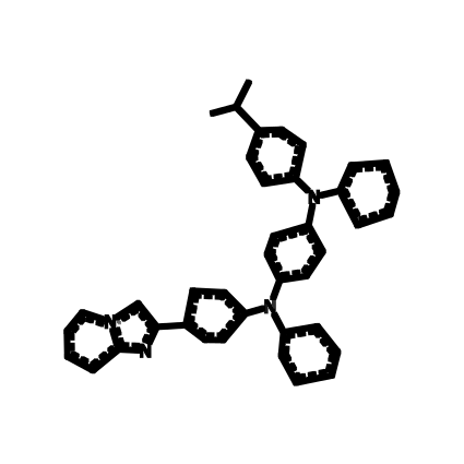 CC(C)c1ccc(N(c2ccccc2)c2ccc(N(c3ccccc3)c3ccc(-c4cn5ccccc5n4)cc3)cc2)cc1